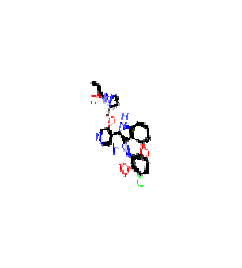 C=CC(=O)N1CC[C@@H]1COc1cnccc1-c1[nH]c2c(c1Nc1cccc(Cl)c1OC)C(=O)CCC2